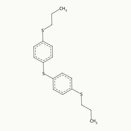 CCCSc1ccc(Sc2ccc(SCCC)cc2)cc1